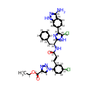 CCOC(=O)c1cn(-c2ccc(Cl)cc2C=CC(=O)N[C@@H](Cc2ccccc2)c2nc(-c3ccc4c(N)n[nH]c4c3)c(Cl)[nH]2)nn1